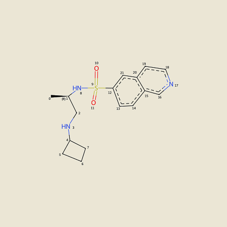 C[C@H](CNC1CCC1)NS(=O)(=O)c1ccc2cnccc2c1